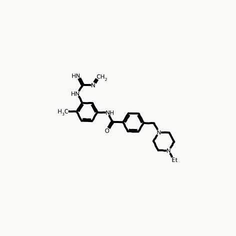 C=NC(=N)Nc1cc(NC(=O)c2ccc(CN3CCN(CC)CC3)cc2)ccc1C